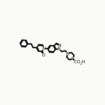 O=C(O)N1CCN(CCn2ncc3cc(-n4ccc(CCc5ccccc5)cc4=O)ccc32)CC1